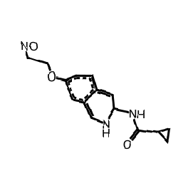 O=NCCOc1ccc2c(c1)=CNC(NC(=O)C1CC1)C=2